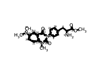 COC(=O)C(N)Cc1ccc(-n2c(=O)c3cc(N(C)C)ccc3n(C)c2=O)cc1